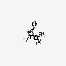 CCC1SC(=O)N(CCN2CCOCC2)N=C1c1ccc(OC(F)F)c(OC)c1